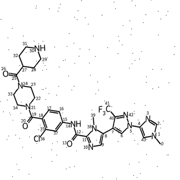 Cn1cnc(-n2cc(-c3cnc(C(=O)Nc4ccc(C(=O)N5CCN(C(=O)C6CCNCC6)CC5)c(Cl)c4)n3C)c(C(F)(F)F)n2)c1